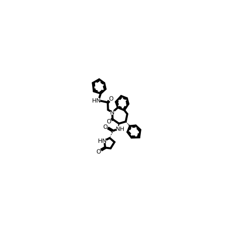 O=C(CN1C(=O)[C@@H](NC(=O)[C@@H]2CCC(=O)N2)[C@@H](c2ccccc2)Cc2ccccc21)Nc1ccccc1